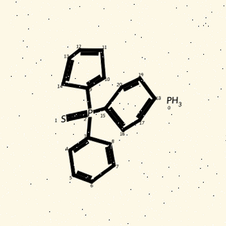 P.S=P(c1ccccc1)(c1ccccc1)c1ccccc1